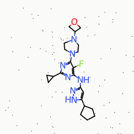 Fc1c(Nc2cc(C3CCCC3)[nH]n2)nc(C2CC2)nc1N1CCN(C2COC2)CC1